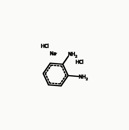 Cl.Cl.Nc1ccccc1N.[Na]